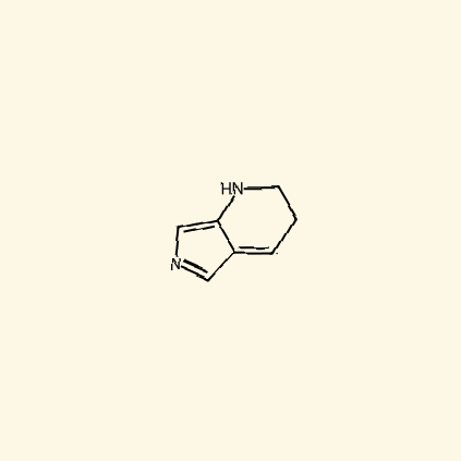 [C]1=C2C=NC=C2NCC1